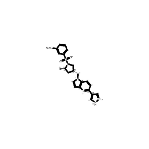 COc1cccc(S(=O)(=O)N2C[C@H](Cn3ccc4nc(-c5cn[nH]c5)ccc43)C[C@H]2C)c1